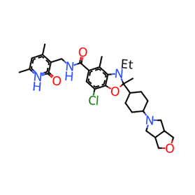 CCN1c2c(C)c(C(=O)NCc3c(C)cc(C)[nH]c3=O)cc(Cl)c2OC1(C)C1CCC(N2CC3COCC3C2)CC1